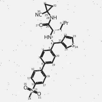 CC(C)C[C@H](N[C@@H](c1ccc(-c2ccc(S(C)(=O)=O)cc2)cc1)c1ccsc1)C(=O)NC1(C#N)CC1